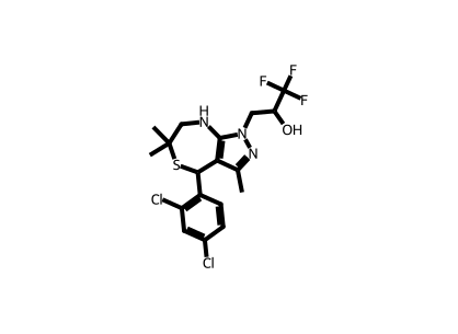 Cc1nn(CC(O)C(F)(F)F)c2c1C(c1ccc(Cl)cc1Cl)SC(C)(C)CN2